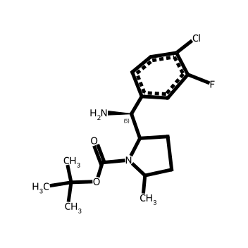 CC1CCC([C@@H](N)c2ccc(Cl)c(F)c2)N1C(=O)OC(C)(C)C